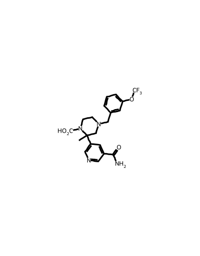 CC1(c2cncc(C(N)=O)c2)CN(Cc2cccc(OC(F)(F)F)c2)CCN1C(=O)O